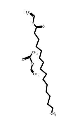 C=COC(=O)CCCCCCCCCCCCCCC.C=COC(C)=O